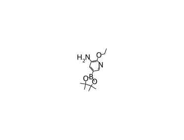 CCOc1ncc(B2OC(C)(C)C(C)(C)O2)cc1N